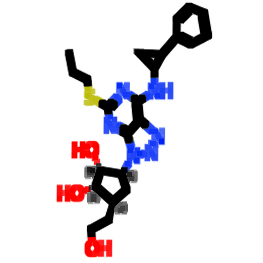 CCCSc1nc(NC2CC2c2ccccc2)c2nnn([C@H]3C[C@@H](CCO)[C@H](O)[C@@H]3O)c2n1